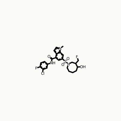 Cn1ccc2c(C(=O)Nc3ccc(F)c(Cl)c3)cc(S(=O)(=O)N3CCCCC(O)C(CF)C3)cc21